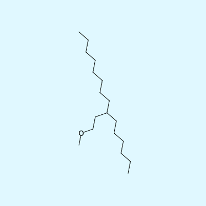 CCCCCCCCC(CCCCCC)CCOC